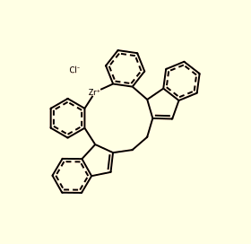 C1=C2CCC3=Cc4ccccc4C3c3cccc[c]3[Zr+][c]3ccccc3C2c2ccccc21.[Cl-]